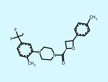 Cc1ccc(C2C[C@H](C(=O)N3CCN(c4cc(C(F)(F)F)ccc4C)CC3)O2)cc1